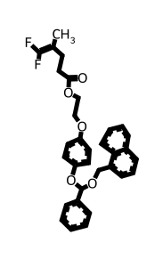 CC(CCC(=O)OCCOc1ccc(OC(OCc2cccc3ccccc23)c2ccccc2)cc1)=C(F)F